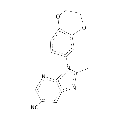 Cc1nc2cc(C#N)cnc2n1-c1ccc2c(c1)OCCO2